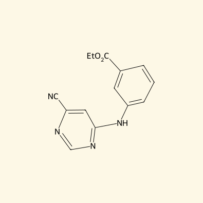 CCOC(=O)c1cccc(Nc2cc(C#N)ncn2)c1